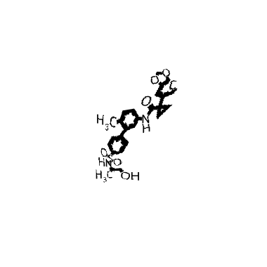 Cc1ccc(NC(=O)C2(c3ccc4c(c3)OCO4)CC2)cc1-c1ccc(S(=O)(=O)N[C@H](C)CO)cc1